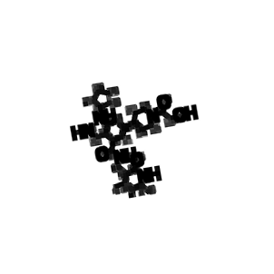 Cc1cc(C)c(CNC(=O)c2cc(C3=CCN(C(=O)CO)CC3)cc(NC3CCCC3)c2C=N)c(=O)[nH]1